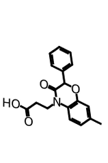 Cc1ccc2c(c1)OC(c1ccccc1)C(=O)N2CCC(=O)O